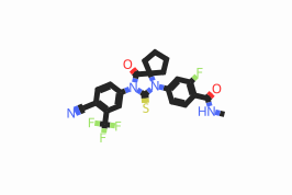 CNC(=O)c1ccc(N2C(=S)N(c3ccc(C#N)c(C(F)(F)F)c3)C(=O)C23CCCC3)cc1F